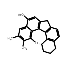 CC(=O)Oc1cc2c(c3c(C)c(C)c(C)cc13)-c1c(ccc3c1CCCC3)C2